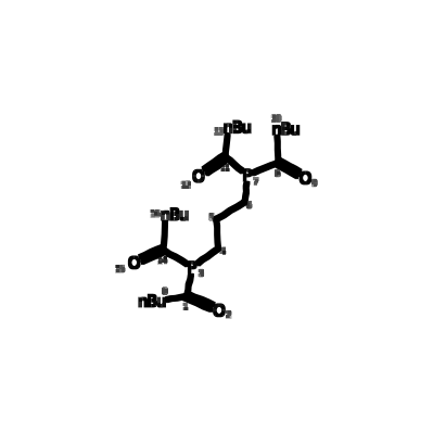 CCCCC(=O)P(CCCP(C(=O)CCCC)C(=O)CCCC)C(=O)CCCC